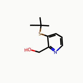 CC(C)(C)Sc1cccnc1CO